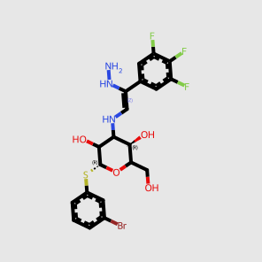 NN/C(=C\NC1C(O)[C@@H](Sc2cccc(Br)c2)OC(CO)[C@@H]1O)c1cc(F)c(F)c(F)c1